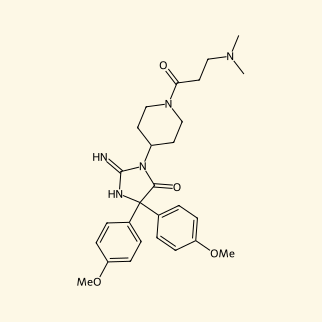 COc1ccc(C2(c3ccc(OC)cc3)NC(=N)N(C3CCN(C(=O)CCN(C)C)CC3)C2=O)cc1